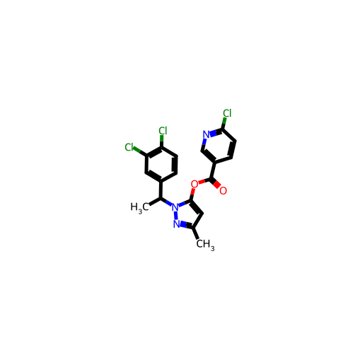 Cc1cc(OC(=O)c2ccc(Cl)nc2)n(C(C)c2ccc(Cl)c(Cl)c2)n1